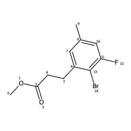 COC(=O)CCc1cc(C)cc(F)c1Br